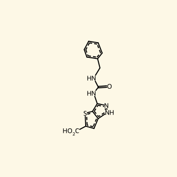 O=C(NCc1ccccc1)Nc1n[nH]c2cc(C(=O)O)sc12